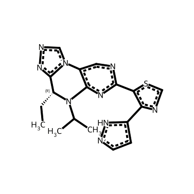 CC[C@@H]1c2nncn2-c2cnc(-c3scnc3-c3ccn[nH]3)nc2N1C(C)C